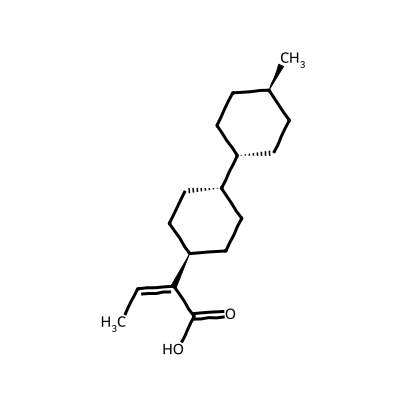 CC=C(C(=O)O)[C@H]1CC[C@H]([C@H]2CC[C@H](C)CC2)CC1